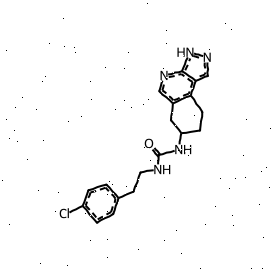 O=C(NCCc1ccc(Cl)cc1)NC1CCc2c(cnc3[nH]ncc23)C1